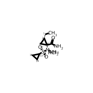 CC[C@H]1C[C@@]1(C(N)=O)N(N)S(=O)(=O)C1CC1.Cl